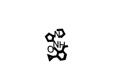 CCc1cccc(C2CC2)c1C(=O)NC1CCCC1N1CCCC1